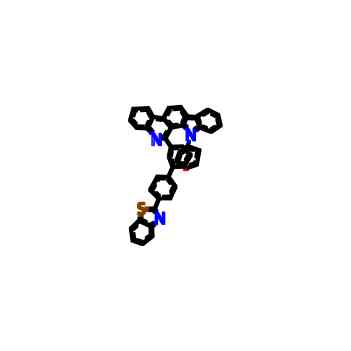 c1ccc(-n2c3ccccc3c3ccc4c5ccccc5nc(-c5cccc(-c6ccc(-c7nc8ccccc8s7)cc6)c5)c4c32)cc1